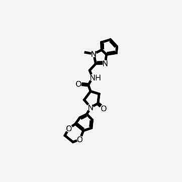 Cn1c(CNC(=O)C2CC(=O)N(c3ccc4c(c3)OCCO4)C2)nc2ccccc21